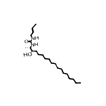 CCCCCCCCCCCCCCC[C@@H](O)[C@H](C)NC(=O)NCCCC